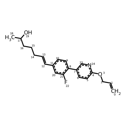 C=CCOc1ccc(-c2ccc(/C=C/CCCC(C)O)cc2F)cn1